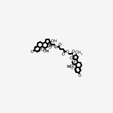 C[C@H]1CC2C3CCC4=CC(=O)C=C[C@]4(C)[C@@]3(F)[C@@H](O)C[C@@]23O[C@]13C(=O)COC(=O)CCC(=O)OCC(=O)[C@@]1(O)CCC2C3CCC4=CC(=O)C=C[C@]4(C)C3[C@@H](O)C[C@@]21C